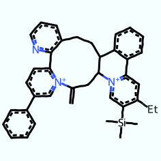 C=C1CC2C(CCc3cccnc3-c3ccc(-c4ccccc4)c[n+]31)c1ccccc1-c1cc(CC)c([Si](C)(C)C)c[n+]12